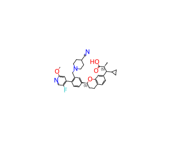 COc1cc(-c2ccc([C@@H]3CCc4ccc(C(C5CC5)[C@H](C)C(=O)O)cc4O3)cc2CN2CCC(C#N)CC2)c(F)cn1